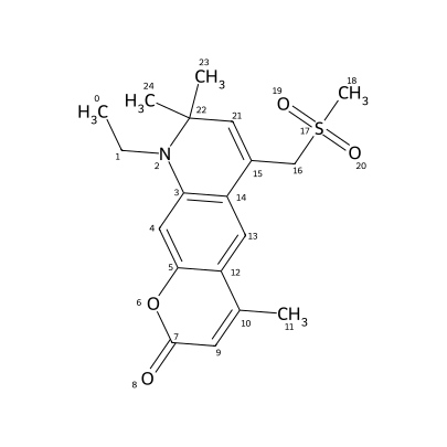 CCN1c2cc3oc(=O)cc(C)c3cc2C(CS(C)(=O)=O)=CC1(C)C